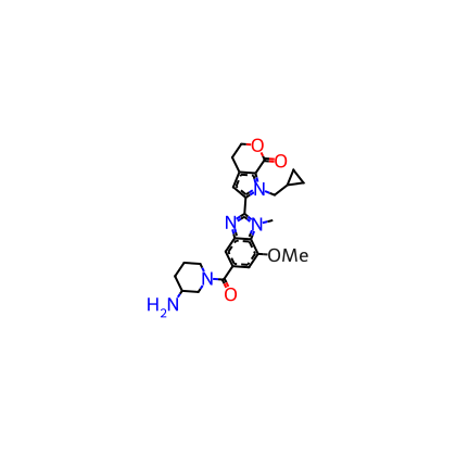 COc1cc(C(=O)N2CCCC(N)C2)cc2nc(-c3cc4c(n3CC3CC3)C(=O)OCC4)n(C)c12